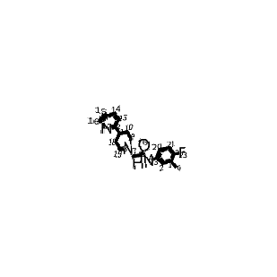 Cc1cc(NC(=O)CN2CCC(c3ccccn3)CC2)ccc1F